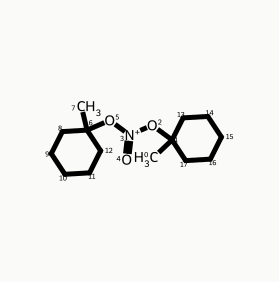 CC1(O[N+](=O)OC2(C)CCCCC2)CCCCC1